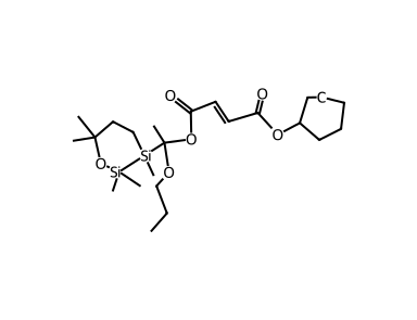 CCCOC(C)(OC(=O)C=CC(=O)OC1CCCCC1)[Si]1(C)CCC(C)(C)O[Si]1(C)C